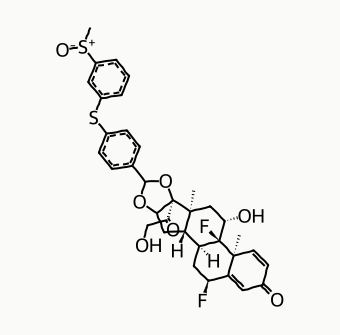 C[S+]([O-])c1cccc(Sc2ccc(C3OC4C[C@H]5[C@@H]6C[C@H](F)C7=CC(=O)C=C[C@]7(C)[C@@]6(F)[C@@H](O)C[C@]5(C)[C@]4(C(=O)CO)O3)cc2)c1